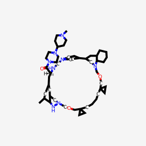 CC1CC2CC3CN(COCC4(CCCCC5(CC5)COCN5CC(CC6CCCCC65)C5CCN(CC5)CN[C@H](C(=O)N5CCN(C6CCN(C)CC6)CC5)C2)CC4)NC13